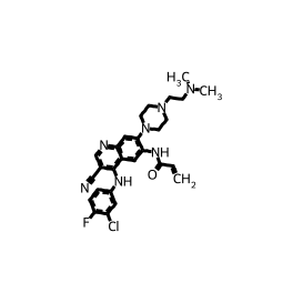 C=CC(=O)Nc1cc2c(Nc3ccc(F)c(Cl)c3)c(C#N)cnc2cc1N1CCN(CCN(C)C)CC1